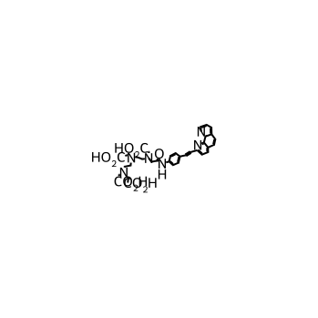 O=C(O)CN(CCN(CC(=O)O)CC(=O)O)CCN(CC(=O)O)CC(=O)Nc1ccc(C#Cc2ccc3ccc4cccnc4c3n2)cc1